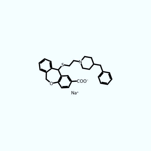 O=C([O-])c1ccc2c(c1)C(SCCN1CCC(Cc3ccccc3)CC1)c1ccccc1CO2.[Na+]